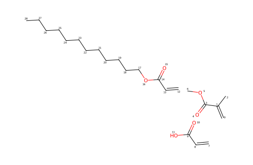 C=C(C)C(=O)OC.C=CC(=O)O.C=CC(=O)OCCCCCCCCCCCC